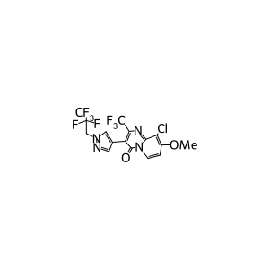 COc1ccn2c(=O)c(-c3cnn(CC(F)(F)C(F)(F)F)c3)c(C(F)(F)F)nc2c1Cl